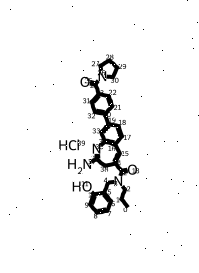 CCCN(Cc1ccccc1O)C(=O)C1=Cc2ccc(-c3ccc(C(=O)N4CCCC4)cc3)cc2N=C(N)C1.Cl